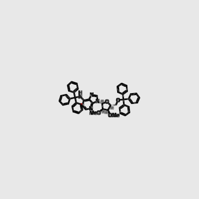 CO[C@@H]1[C@H](OC)[C@@H](COC(c2ccccc2)(c2ccccc2)c2ccccc2)O[C@H]1n1cnc2c(NC(c3ccccc3)(c3ccccc3)c3ccccc3)ncnc21